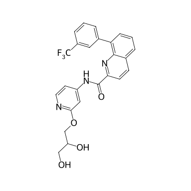 O=C(Nc1ccnc(OCC(O)CO)c1)c1ccc2cccc(-c3cccc(C(F)(F)F)c3)c2n1